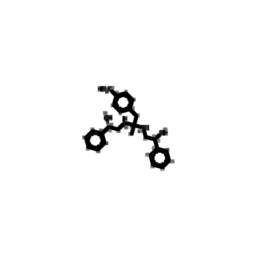 CC(Cc1ccc(C(=O)O)cc1)(NC[C@@H](O)c1ccccc1)NC[C@@H](O)c1ccccc1